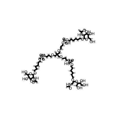 CC(=O)N[C@@H](C)[C@H](OCCCCCCOP(=O)(O)OCCCOCC(C)(COCCCOP(=O)(O)OCCCCCCO[C@@H]1OC(CO)[C@H](O)C(O)[C@@H]1NC(C)=O)COCCCOP(=O)(O)OCCCCCCO[C@@H]1OC(CO)[C@H](O)C(O)[C@@H]1NC(C)=O)OC(CO)[C@H](O)CO